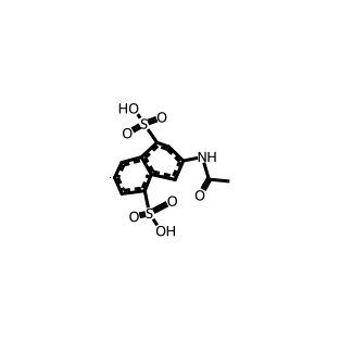 CC(=O)Nc1cc(S(=O)(=O)O)c2c[c]cc(S(=O)(=O)O)c2c1